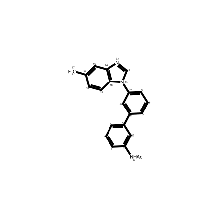 CC(=O)Nc1cccc(-c2cccc(-n3cnc4cc(C(F)(F)F)ccc43)c2)c1